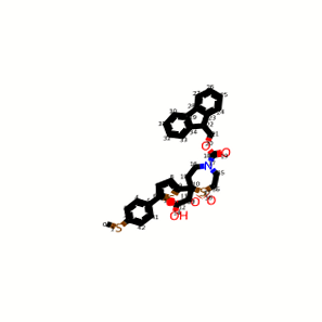 CSc1ccc(-c2ccc(C3(CC(=O)O)CCN(C(=O)OCC4c5ccccc5-c5ccccc54)CCS3(=O)=O)s2)cc1